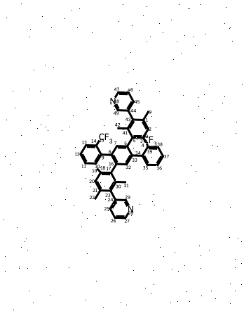 Cc1cc(C)c(-c2cc(-c3ccccc3C(F)(F)F)c(-c3c(C)cc(C)c(-c4cccnc4)c3C)cc2-c2ccccc2C(F)(F)F)c(C)c1-c1cccnc1